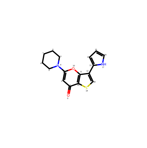 O=c1cc(N2CCCCC2)oc2c(-c3ccc[nH]3)csc12